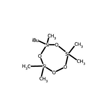 CCC(C)[Si]1(C)O[Si](C)(C)OO[Si](C)(C)O1